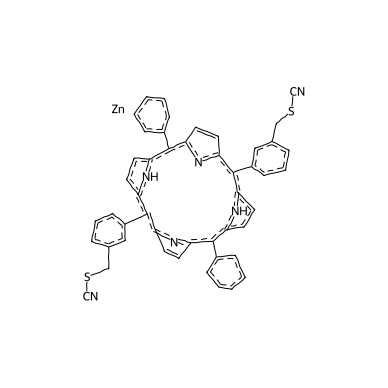 N#CSCc1cccc(-c2c3nc(c(-c4ccccc4)c4ccc([nH]4)c(-c4cccc(CSC#N)c4)c4nc(c(-c5ccccc5)c5ccc2[nH]5)C=C4)C=C3)c1.[Zn]